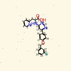 O=C(O)C(Cc1ccccn1)Nc1cc(-c2ccc(OCc3cccc(F)c3)cc2)ncn1